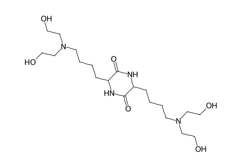 O=C1NC(CCCCN(CCO)CCO)C(=O)NC1CCCCN(CCO)CCO